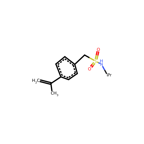 C=C(C)c1ccc(CS(=O)(=O)NC(C)C)cc1